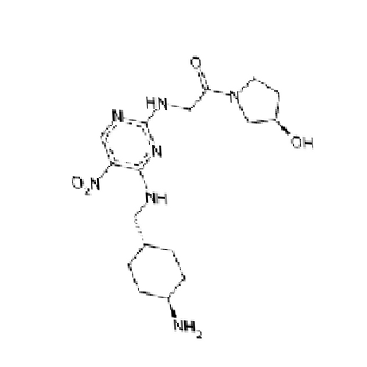 N[C@H]1CC[C@H](CNc2nc(NCC(=O)N3CC[C@@H](O)C3)ncc2[N+](=O)[O-])CC1